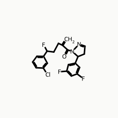 C=C(CCC(F)c1cccc(Cl)c1)C(=O)N1N=CCC1c1cc(F)cc(F)c1